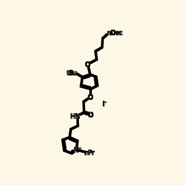 CCCCCCCCCCCCCCOc1ccc(OCC(=O)NCCc2ccc[n+](CCC)c2)cc1C(C)(C)C.[I-]